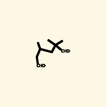 CC(C[C]=O)CC(C)(C)[C]=O